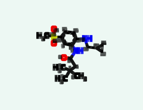 CC(C)(C)CC(=O)Nc1cc(S(C)(=O)=O)ccc1NCC1CC1